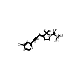 CCN(CC)C(=O)N1CC/C(=C\C#Cc2cc(Cl)ccn2)C1(C)C